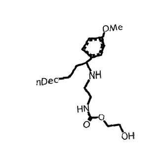 CCCCCCCCCCCCC(NCCNC(=O)OCCO)c1ccc(OC)cc1